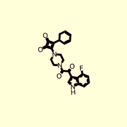 O=C(C(=O)N1CCN(c2c(C3C=CC=CC3)c(=O)c2=O)CC1)c1c[nH]c2cccc(F)c12